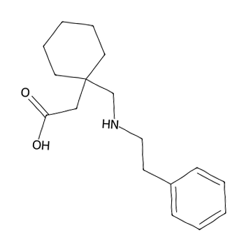 O=C(O)CC1(CNCCc2ccccc2)CCCCC1